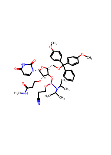 CNC(=O)CCO[C@H]1C(OP(OCCC#N)N(C(C)C)C(C)C)[C@@H](COC(c2ccccc2)(c2ccc(OC)cc2)c2ccc(OC)cc2)O[C@H]1n1ccc(=O)[nH]c1=O